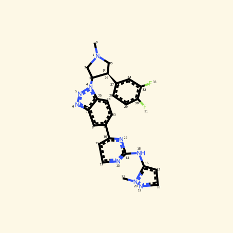 CN1CC(n2nnc3cc(-c4ccnc(Nc5ccnn5C)n4)ccc32)[C@H](c2ccc(F)c(F)c2)C1